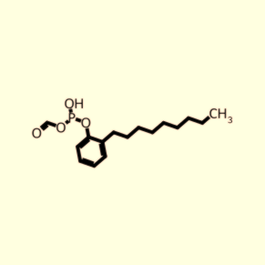 CCCCCCCCCc1ccccc1OP(O)OC=O